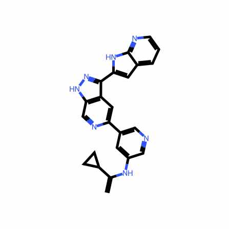 C=C(Nc1cncc(-c2cc3c(-c4cc5cccnc5[nH]4)n[nH]c3cn2)c1)C1CC1